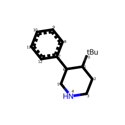 CC(C)(C)C1CCNCC1c1ccccc1